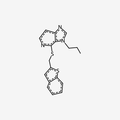 CCCn1cnc2ccnc(SCc3cc4ccccc4s3)c21